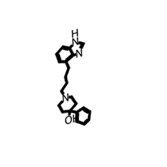 OC1(c2ccccc2)CCN(CCCCc2cccc3[nH]cnc23)CC1